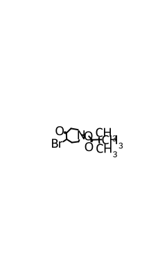 CC(C)(C)C(=O)ON1CCC(=O)C(Br)CC1